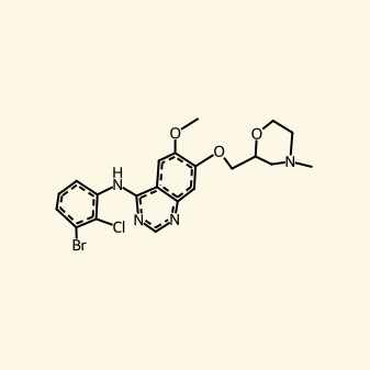 COc1cc2c(Nc3cccc(Br)c3Cl)ncnc2cc1OCC1CN(C)CCO1